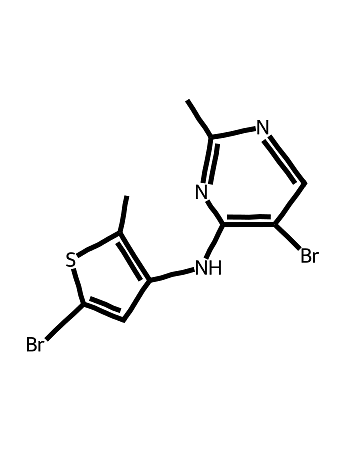 Cc1ncc(Br)c(Nc2cc(Br)sc2C)n1